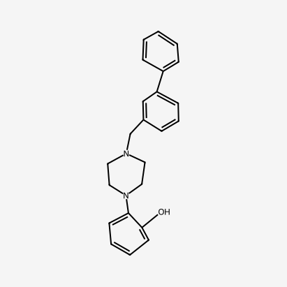 Oc1ccccc1N1CCN(Cc2cccc(-c3ccccc3)c2)CC1